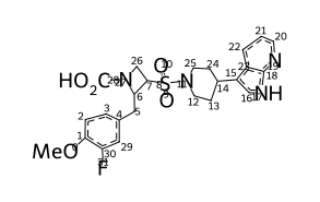 COc1ccc(CC2C(S(=O)(=O)N3CCC(c4c[nH]c5ncccc45)CC3)CN2C(=O)O)cc1F